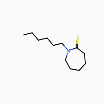 CCCCCCN1CCCCCC1=S